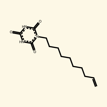 C=CCCCCCCCCn1c(=O)[nH]c(=O)[nH]c1=O